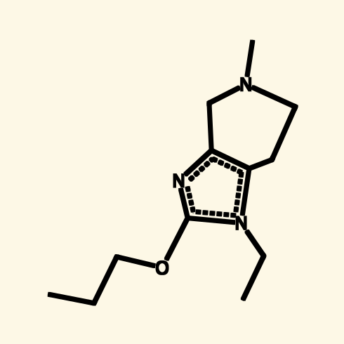 CCCOc1nc2c(n1CC)CCN(C)C2